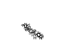 Cc1nn(C)cc1S(=O)(=O)N1CCC(C)(C(=O)Nc2ccc3scnc3c2)CC1